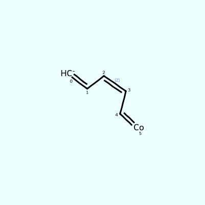 [CH-]=C/C=C\[CH]=[Co]